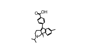 Cc1ccc2c(c1)C(c1ccc(C(=O)O)cc1)=C1CCN(C(C)C)CC12I